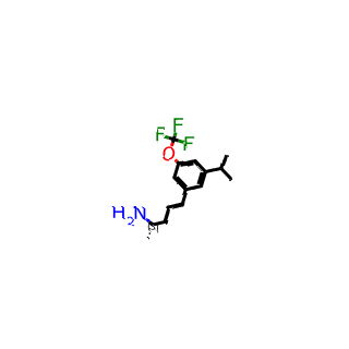 CC(C)c1cc(CCC[C@H](C)N)cc(OC(F)(F)F)c1